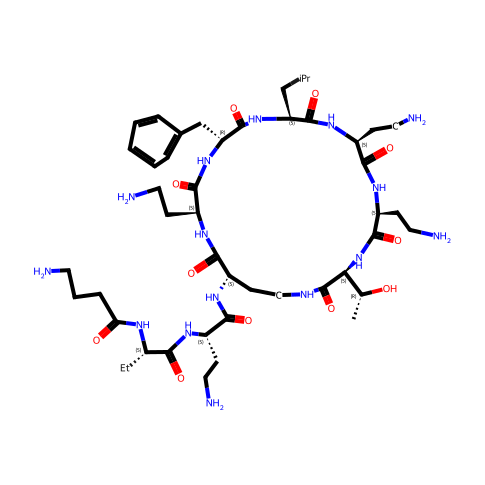 CC[C@H](NC(=O)CCCN)C(=O)N[C@@H](CCN)C(=O)N[C@H]1CCNC(=O)[C@H]([C@@H](C)O)NC(=O)[C@H](CCN)NC(=O)[C@H](CCN)NC(=O)[C@H](CC(C)C)NC(=O)[C@@H](Cc2ccccc2)NC(=O)[C@H](CCN)NC1=O